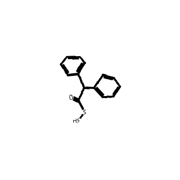 O=C(SS)C(c1ccccc1)c1ccccc1